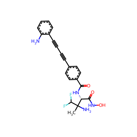 CC(N)(C(F)F)[C@H](NC(=O)c1ccc(C#CC#Cc2ccccc2N)cc1)C(=O)NO